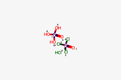 Cl.O=P(Cl)(Cl)Cl.O=P(O)(O)O